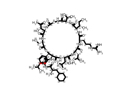 CC[C@H](C)[C@@H]1NC(=O)[C@@H](CCCNC(=N)N)NC(=O)[C@H](CC(C)C)NC(=O)[C@H]([C@H](O)C(C)C)NC(=O)[C@@H](NC(=O)[C@H](CC(C)C)NC(=O)[C@H](N)CC2CCCCC2)[C@@H](c2ccccc2)OC(=O)[C@H](CO)NC(=O)[C@H]([C@H](O)C(N)=O)NC(=O)CNC(=O)[C@H]([C@H](C)O)NC1=O